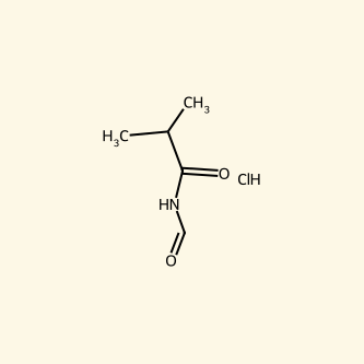 CC(C)C(=O)NC=O.Cl